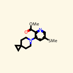 COC(=O)c1ncc(SC)cc1N1CCC2(CC1)CC2